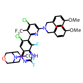 COc1ccc(CN(Cc2ccc(OC)cc2)c2cc(Cl)c(C(F)(F)F)c(-c3c(Cl)cc4c(N5C6COCC5CN(C(=O)O)C6)nc(F)nc4c3F)n2)cc1